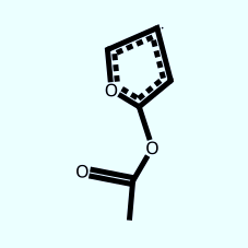 CC(=O)Oc1c[c]co1